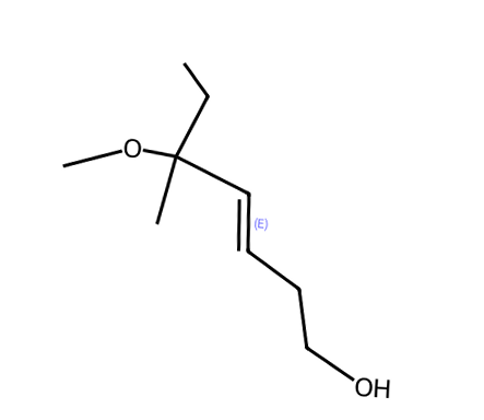 CCC(C)(/C=C/CCO)OC